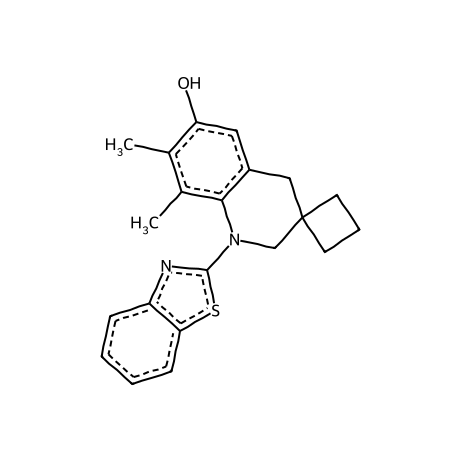 Cc1c(O)cc2c(c1C)N(c1nc3ccccc3s1)CC1(CCC1)C2